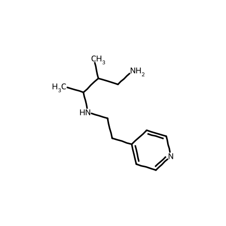 CC(CN)C(C)NCCc1ccncc1